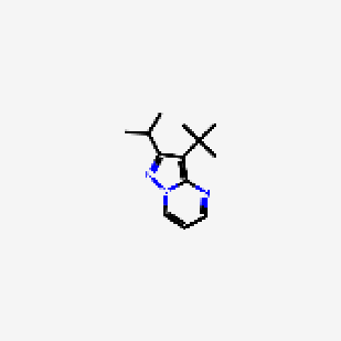 CC(C)c1nn2cccnc2c1C(C)(C)C